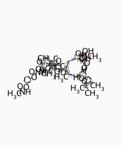 CC[C@H](C)[C@H]1O[C@]2(C=C[C@@H]1C)C[C@@H]1C[C@@H](C/C=C(\C)[C@@H](O[C@H]3C[C@H](OC)[C@@H](O[C@H]4C[C@H](OC)[C@@H](ONC(=O)Oc5cccc(OC(=O)NC)c5)[C@H](C)O4)[C@H](C)O3)[C@@H](C)/C=C/C=C3\CO[C@@H]4[C@H](O)C(C)=C[C@@H](C(=O)O1)[C@]34O)O2